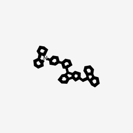 C(=C1c2ccccc2-c2ccccc21)c1ccc2c(c1)-c1ccccc1C2c1cccc(-c2ccc(-n3c4ccccc4c4ccccc43)cc2)c1